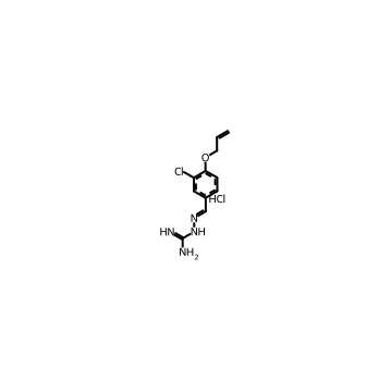 C=CCOc1ccc(C=NNC(=N)N)cc1Cl.Cl